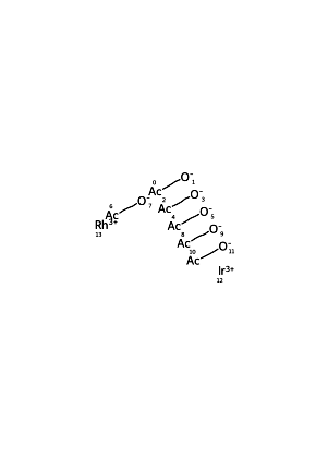 CC(=O)[O-].CC(=O)[O-].CC(=O)[O-].CC(=O)[O-].CC(=O)[O-].CC(=O)[O-].[Ir+3].[Rh+3]